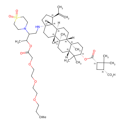 C=C(C)[C@@H]1CC[C@]2(NCC(C(C)OC(=O)COCCOCCOCCOC)N3CCS(=O)(=O)CC3)CC[C@]3(C)[C@H](CC[C@@H]4[C@@]5(C)CC[C@H](OC(=O)[C@H]6C[C@@H](C(=O)O)C6(C)C)C(C)(C)[C@@H]5CC[C@]43C)[C@@H]12